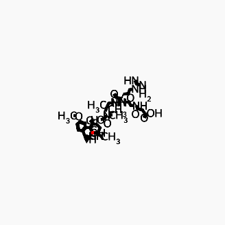 CNC12CC(OC(=O)N(C)CC(C)(C)CNC(=O)[C@@H](CCCNC(=N)N)NC(=O)CNC(=O)CC(=O)O)[C@@H]3Oc4c(OC)ccc5c4[C@]3(C1)[C@]2(O)[C@@H]1CC51